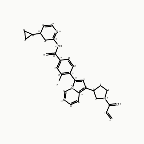 C=CC(=O)N1CCC(c2cc(-c3ccc(C(=O)NC4=NC=CC(C5CC5)C4)cc3F)n3cnccc23)C1